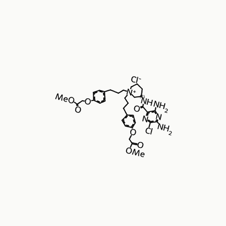 COC(=O)COc1ccc(CCC[N+]2(CCCc3ccc(OCC(=O)OC)cc3)CCC[C@H](NC(=O)c3nc(Cl)c(N)nc3N)C2)cc1.[Cl-]